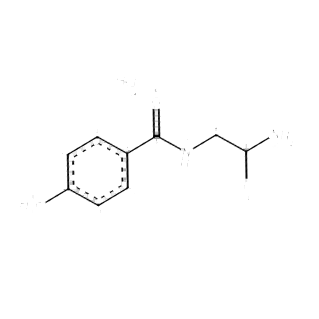 Cc1ccc(C(=O)NCC(N)F)cc1.Cl